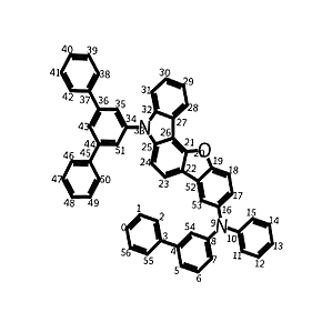 c1ccc(-c2cccc(N(c3ccccc3)c3ccc4oc5c(ccc6c5c5ccccc5n6-c5cc(-c6ccccc6)cc(-c6ccccc6)c5)c4c3)c2)cc1